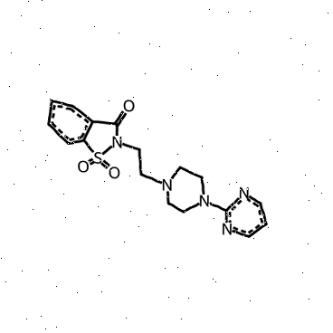 O=C1c2ccccc2S(=O)(=O)N1CCN1CCN(c2ncccn2)CC1